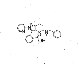 CN(Cc1ccccc1)C1CCc2nn(-c3ccccn3)c(-c3ccccc3C(=O)O)c2C1